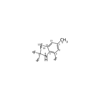 Cc1cc(F)c(NC(F)(F)F)c(F)c1